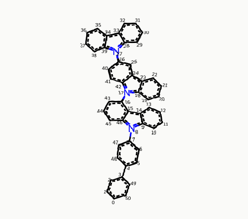 c1ccc(-c2ccc(-n3c4ccccc4c4c(-n5c6ccccc6c6cc(-n7c8ccccc8c8ccccc87)ccc65)cccc43)cc2)cc1